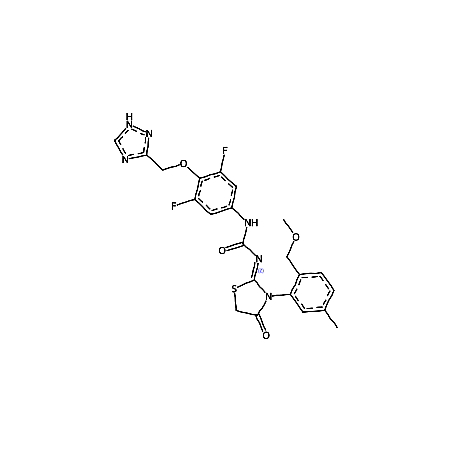 COCc1ccc(C)cc1N1C(=O)CS/C1=N\C(=O)Nc1cc(F)c(OCc2nc[nH]n2)c(F)c1